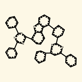 c1ccc(-c2cc(-c3ccccc3)nc(-c3cccc(-c4cccc5sc6c(-c7nc(-c8ccccc8)nc(-c8ccccc8)n7)cccc6c45)c3)n2)cc1